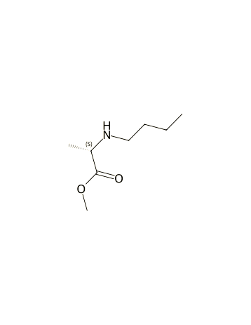 CCCCN[C@@H](C)C(=O)OC